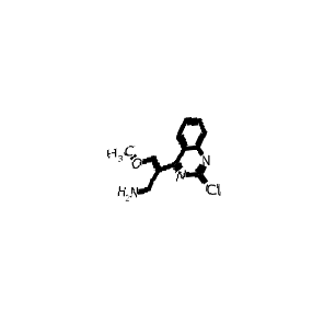 COCC(CN)c1nc(Cl)nc2ccccc12